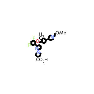 COCCN1CCC(c2ccc(COc3c(F)cc(F)cc3-c3cccc(N4CCC(C(=O)O)CC4)n3)c(C)c2)CC1